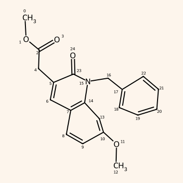 COC(=O)Cc1cc2ccc(OC)cc2n(Cc2ccccc2)c1=O